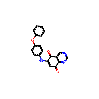 O=C1C(Nc2ccc(Oc3ccccc3)cc2)=CC(=O)c2ncncc21